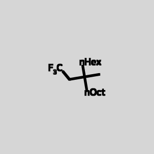 CCCCCCCCC(C)(CCCCCC)CC(F)(F)F